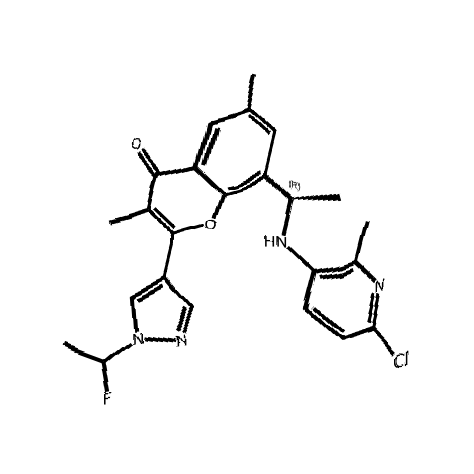 Cc1cc([C@@H](C)Nc2ccc(Cl)nc2C)c2oc(-c3cnn(C(C)F)c3)c(C)c(=O)c2c1